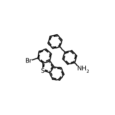 Brc1cccc2c1sc1ccccc12.Nc1ccc(-c2ccccc2)cc1